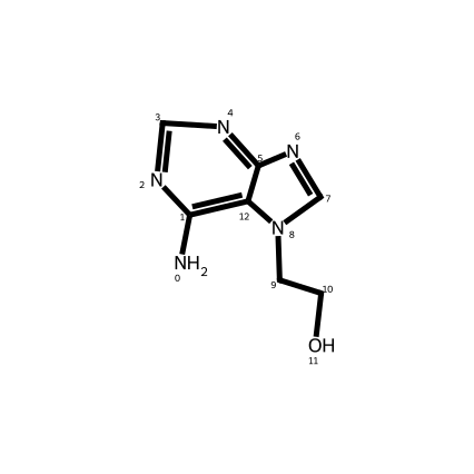 Nc1ncnc2ncn(CCO)c12